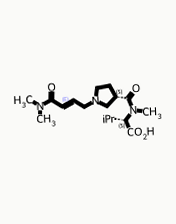 CC(C)[C@@H](C(=O)O)N(C)C(=O)[C@H]1CCN(C/C=C/C(=O)N(C)C)C1